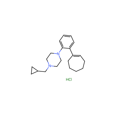 C1=C(c2ccccc2N2CCN(CC3CC3)CC2)CCCCC1.Cl